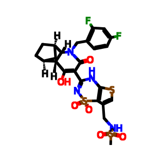 CS(=O)(=O)NCc1csc2c1S(=O)(=O)N=C(C1=C(O)[C@@H]3[C@H]4CC[C@H](C4)[C@@H]3N(Cc3ccc(F)cc3F)C1=O)N2